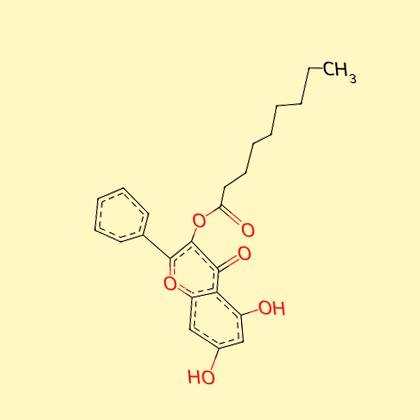 CCCCCCCCC(=O)Oc1c(-c2ccccc2)oc2cc(O)cc(O)c2c1=O